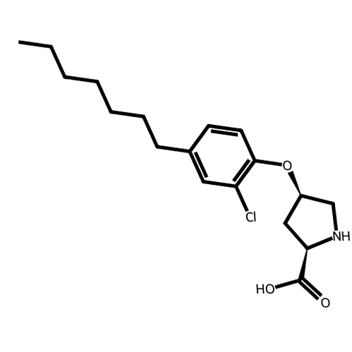 CCCCCCCc1ccc(O[C@H]2CN[C@@H](C(=O)O)C2)c(Cl)c1